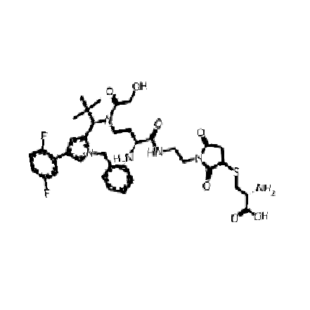 CC(C)(C)[C@H](c1cc(-c2cc(F)ccc2F)cn1Cc1ccccc1)N(CC[C@H](N)C(=O)NCCN1C(=O)CC(SC[C@H](N)C(=O)O)C1=O)C(=O)CO